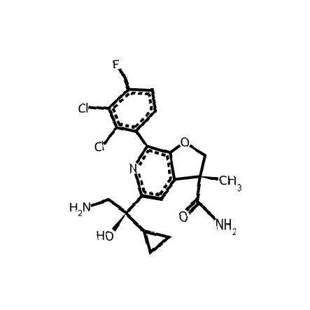 C[C@]1(C(N)=O)COc2c1cc([C@@](O)(CN)C1CC1)nc2-c1ccc(F)c(Cl)c1Cl